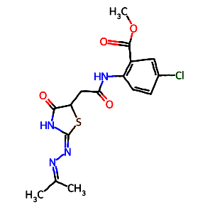 COC(=O)c1cc(Cl)ccc1NC(=O)CC1S/C(=N/N=C(C)C)NC1=O